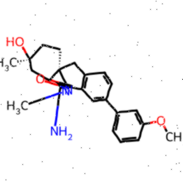 COc1cccc(-c2ccc3c(c2)C2(N=C(N)N(C)C2=O)[C@]2(CC[C@](C)(O)CC2)C3)c1